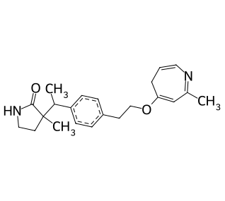 CC1=NC=CCC(OCCc2ccc(C(C)C3(C)CCNC3=O)cc2)=C1